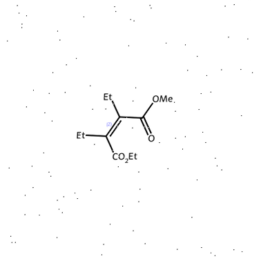 CCOC(=O)/C(CC)=C(/CC)C(=O)OC